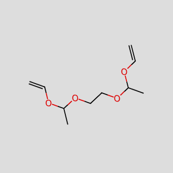 C=COC(C)OCCOC(C)OC=C